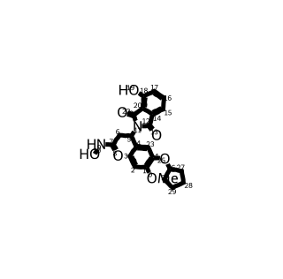 COc1ccc(C(CC(=O)NO)N2C(=O)c3cccc(O)c3C2=O)cc1OC1CCCC1